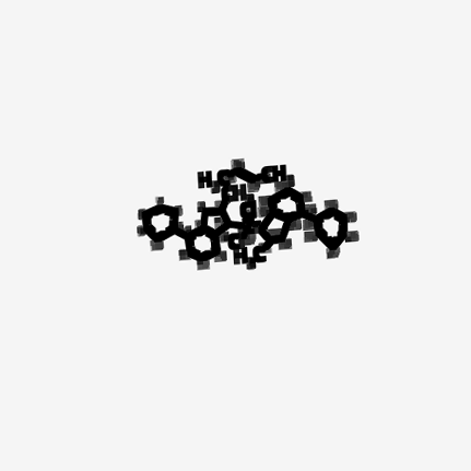 CC1=Cc2c(-c3ccccc3)cccc2[CH]1[Zr]([Cl])([Cl])[CH]1C(C)=Cc2c(-c3ccccc3)cccc21.CC=CC